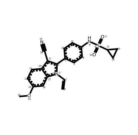 C=Cn1c(-c2ccc(NS(=O)(=O)C3CC3)cc2)c(C#N)c2ccc(OC)cc21